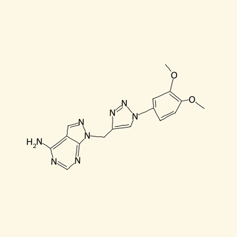 COc1ccc(-n2cc(Cn3ncc4c(N)ncnc43)nn2)cc1OC